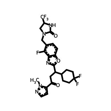 Cn1nccc1C(=O)CC(c1nc2c(F)c(CN3CC(C(F)(F)F)NC3=O)ccc2o1)C1CCC(F)(F)CC1